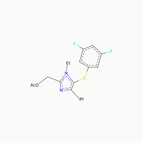 CCn1c(COC(C)=O)nc(C(C)C)c1Sc1cc(F)cc(F)c1